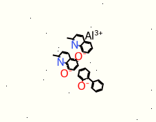 Cc1ccc2cccc([O-])c2n1.Cc1ccc2cccc([O-])c2n1.[Al+3].[O-]c1ccccc1-c1ccccc1